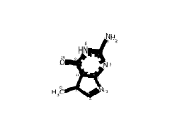 CC1C=Nc2nc(N)[nH]c(=O)c21